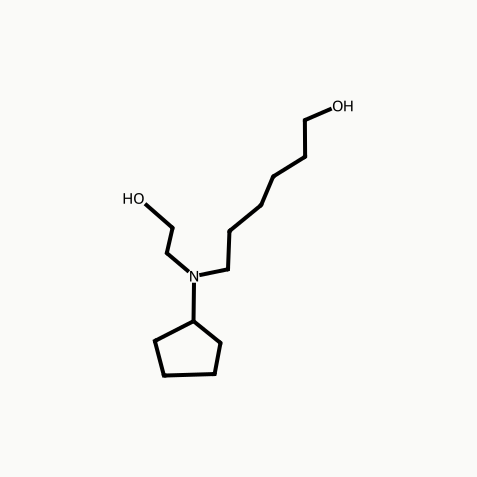 OCCCCCCN(CCO)C1CCCC1